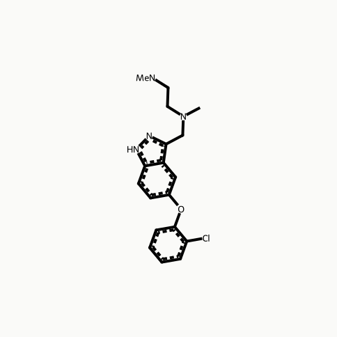 CNCCN(C)Cc1n[nH]c2ccc(Oc3ccccc3Cl)cc12